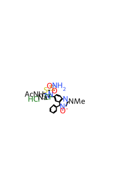 CC(=O)Nc1nnc(S(N)(=O)=O)s1.CNC1=Nc2ccc(Cl)cc2C(c2ccccc2)=[N+]([O-])C1.Cl.[Na+]